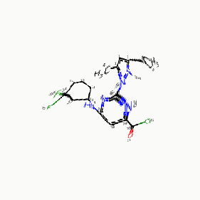 Cc1cc(C)n(-c2nc(NC3CCCC(F)(F)C3)cc(C(=O)Cl)n2)n1